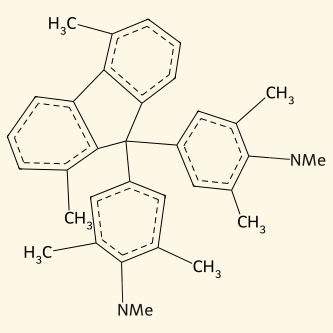 CNc1c(C)cc(C2(c3cc(C)c(NC)c(C)c3)c3cccc(C)c3-c3cccc(C)c32)cc1C